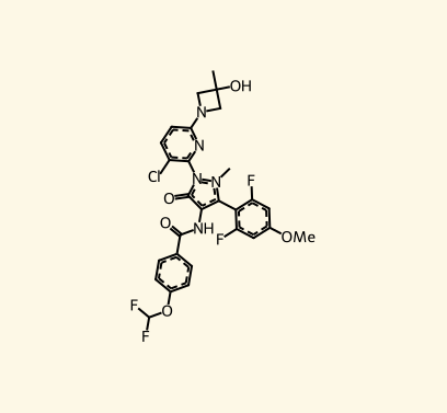 COc1cc(F)c(-c2c(NC(=O)c3ccc(OC(F)F)cc3)c(=O)n(-c3nc(N4CC(C)(O)C4)ccc3Cl)n2C)c(F)c1